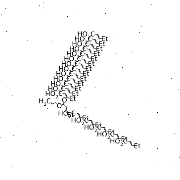 C=CCOC(=O)C=CCC.CCC=CC(=O)O.CCC=CC(=O)O.CCC=CC(=O)O.CCC=CC(=O)O.CCC=CC(=O)O.CCC=CC(=O)O.CCC=CC(=O)O.CCC=CC(=O)O.CCC=CC(=O)O.CCC=CC(=O)O.CCC=CC(=O)O.CCC=CC(=O)O.CCC=CC(=O)O.CCC=CC(=O)O.CCC=CC(=O)O.CCC=CC(=O)O.CCC=CC(=O)O.CCC=CC(=O)O